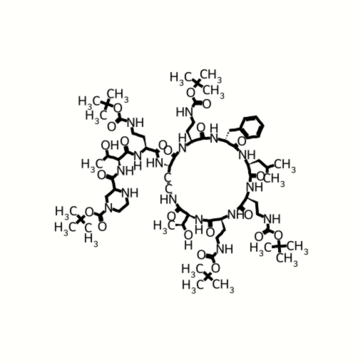 CC(C)C[C@@H]1NC(=O)[C@@H](Cc2ccccc2)NC(=O)[C@H](CCNC(=O)OC(C)(C)C)NC(=O)[C@@H](NC(=O)[C@H](CCNC(=O)OC(C)(C)C)NC(=O)[C@@H](NC(=O)C2CN(C(=O)OC(C)(C)C)CCN2)C(C)O)CCNC(=O)[C@H]([C@H](C)O)NC(=O)[C@H](CCNC(=O)OC(C)(C)C)NC(=O)[C@H](CCNC(=O)OC(C)(C)C)NC1=O